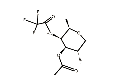 CC(=O)O[C@H]1[C@@H](NC(=O)C(F)(F)F)[C@@H](C)O[CH][C@@H]1F